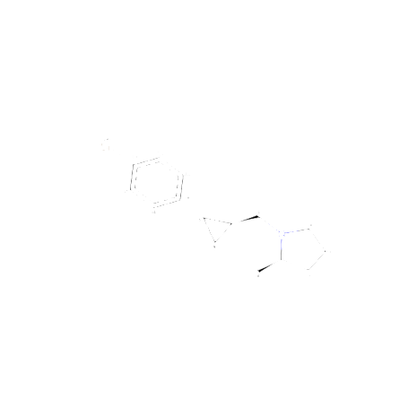 C[C@@H]1CCCN1C[C@H]1C[C@@H]1c1ccc(Br)cc1